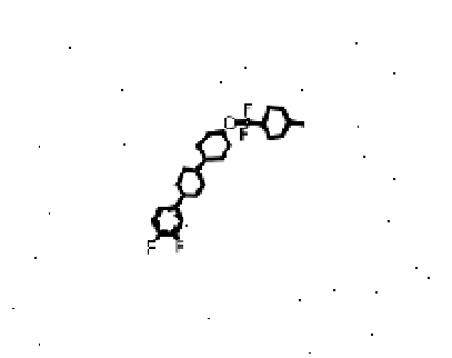 CC1CCC(C(F)(F)OC2CCC(C3CCC(c4ccc(F)c(F)c4)CC3)CC2)CC1